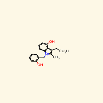 Cc1c(CC(=O)O)c2c(O)cccc2n1Cc1ccccc1O